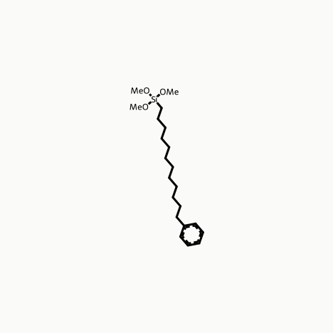 CO[Si](CCCCCCCCCCCCc1ccccc1)(OC)OC